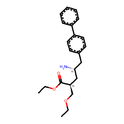 CCOC[C@H](C[C@H](N)Cc1ccc(-c2ccccc2)cc1)C(=O)OCC